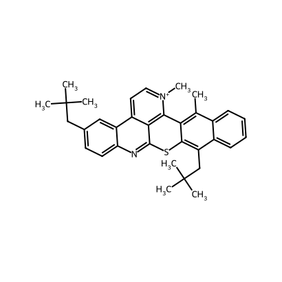 Cc1c2c(c(CC(C)(C)C)c3ccccc13)Sc1nc3ccc(CC(C)(C)C)cc3c3cc[n+](C)c-2c13